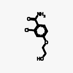 NC(=O)c1ccc(OCCO)cc1Cl